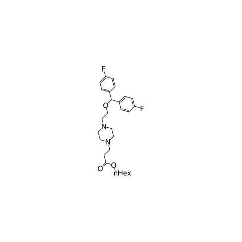 CCCCCCOC(=O)CCN1CCN(CCOC(c2ccc(F)cc2)c2ccc(F)cc2)CC1